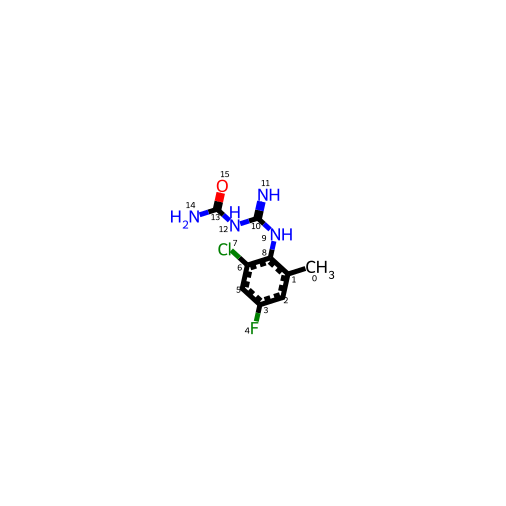 Cc1cc(F)cc(Cl)c1NC(=N)NC(N)=O